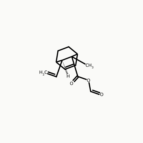 C=C[C@H]1C2C=CC(CC2)C1(C)C(=O)OC=O